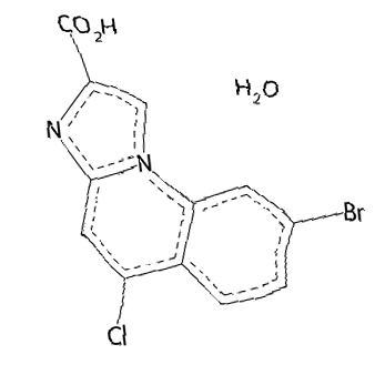 O.O=C(O)c1cn2c(cc(Cl)c3ccc(Br)cc32)n1